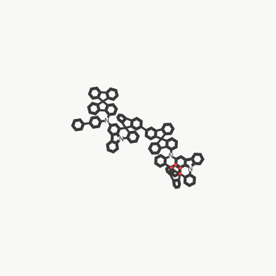 c1ccc(-c2ccc(N(c3cc4c5c(c3)c3ccccc3n5-c3ccccc3C43c4ccccc4-c4ccc(-c5ccc6c(c5)-c5ccccc5C65c6ccccc6-c6c(N(c7cc8c9c(c7)c7ccccc7n9-c7ccccc7C87c8ccccc8-c8ccccc87)c7ccccc7-c7ccccc7)cccc65)cc43)c3cccc4c3-c3ccccc3C43c4ccccc4-c4ccccc43)cc2)cc1